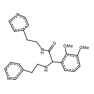 COc1cccc(C(NCCc2cccnc2)C(=O)NCCc2ccncc2)c1OC